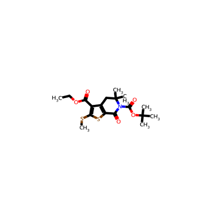 CCOC(=O)c1c(SC)sc2c1CC(C)(C)N(C(=O)OC(C)(C)C)C2=O